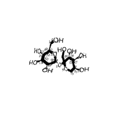 OC[C@H]1O[C@H](OC2(CO)OC[C@H](O)[C@H](O)[C@H]2O)[C@H](O)[C@@H](O)[C@@H]1O